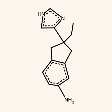 CCC1(c2c[nH]cn2)Cc2ccc(N)cc2C1